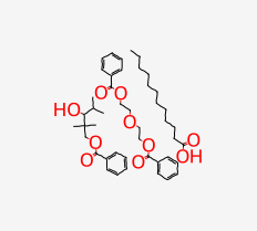 CC(C)C(O)C(C)(C)COC(=O)c1ccccc1.CCCCCCCCCCCC(=O)O.O=C(OCCOCCOC(=O)c1ccccc1)c1ccccc1